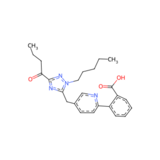 CCCCCn1nc(C(=O)CCC)nc1Cc1ccc(-c2ccccc2C(=O)O)nc1